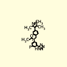 CCC(=O)N(Cc1ccc(-c2c(C)nn(C)c2C)cc1)c1cc(F)cc(-c2nnn[nH]2)c1